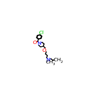 C=CCN(C)CCCCOCC1CCN(C(=O)c2ccc(Cl)cc2)CC1